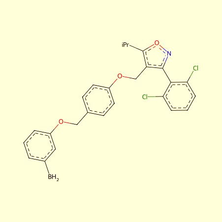 Bc1cccc(OCc2ccc(OCc3c(-c4c(Cl)cccc4Cl)noc3C(C)C)cc2)c1